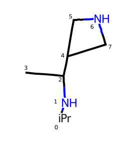 CC(C)NC(C)C1CNC1